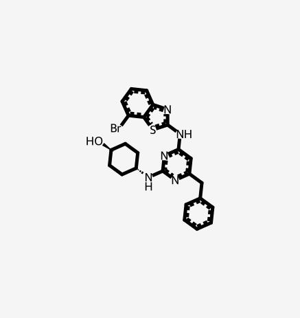 O[C@H]1CC[C@H](Nc2nc(Cc3ccccc3)cc(Nc3nc4cccc(Br)c4s3)n2)CC1